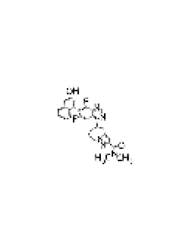 CN(C)C(=O)c1cc2n(n1)CCCC(c1ncnc3c(F)c(-c4cc(O)cc5ccccc45)c(F)cc13)C2